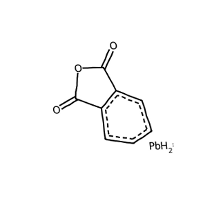 O=C1OC(=O)c2ccccc21.[PbH2]